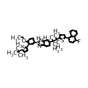 CCOc1ccc([SH]2N=c3ccc(C(C)(C)C(C)(C)c4ccc(-c5ccc(F)c6ccccc56)s4)cc3=N2)cc1-c1ccc(C(C)(C)C)s1